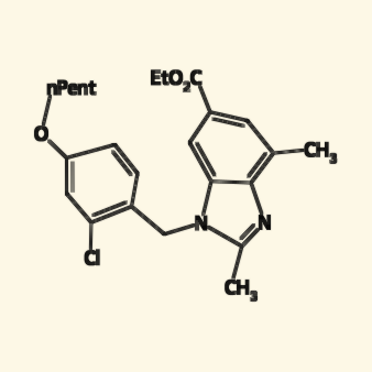 CCCCCOc1ccc(Cn2c(C)nc3c(C)cc(C(=O)OCC)cc32)c(Cl)c1